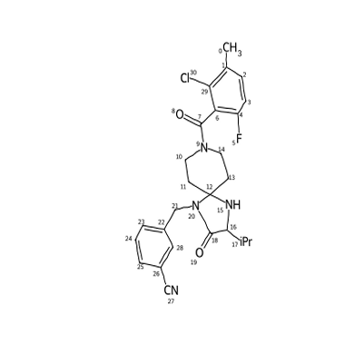 Cc1ccc(F)c(C(=O)N2CCC3(CC2)NC(C(C)C)C(=O)N3Cc2cccc(C#N)c2)c1Cl